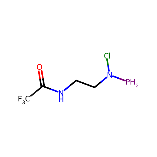 O=C(NCCN(P)Cl)C(F)(F)F